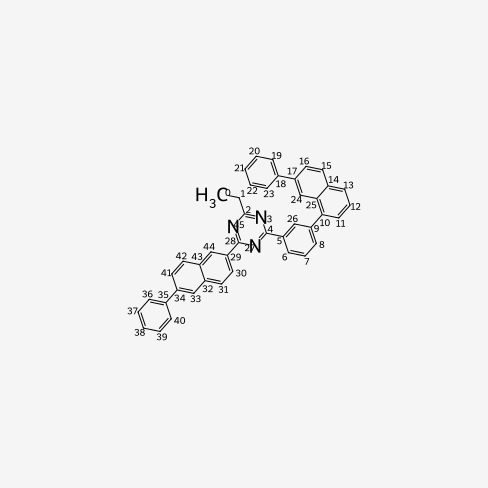 CCc1nc(-c2cccc(-c3cccc4ccc(-c5ccccc5)cc34)c2)nc(-c2ccc3cc(-c4ccccc4)ccc3c2)n1